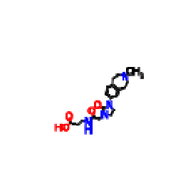 CN1CCc2ccc(N3CCN(CC(=O)NCCC(=O)O)C3=O)cc2CC1